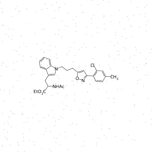 CCOC(=O)C(Cc1cn(CCCc2cc(-c3ccc(C)cc3Cl)no2)c2ccccc12)NC(C)=O